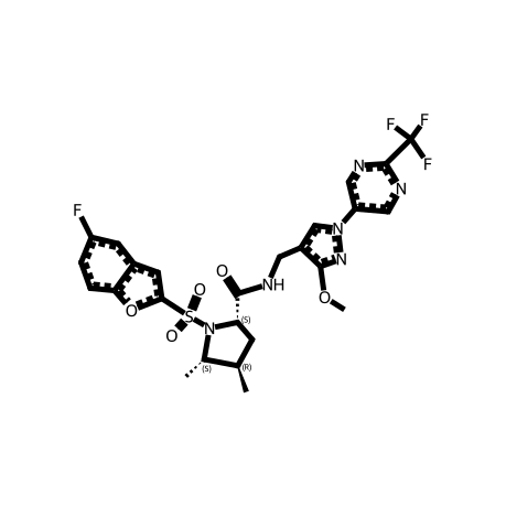 COc1nn(-c2cnc(C(F)(F)F)nc2)cc1CNC(=O)[C@@H]1C[C@@H](C)[C@H](C)N1S(=O)(=O)c1cc2cc(F)ccc2o1